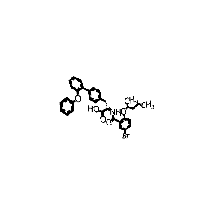 CCCC(C)Oc1ccc(Br)cc1C(=O)N[C@@H](Cc1ccc(-c2ccccc2Oc2ccccc2)cc1)C(=O)O